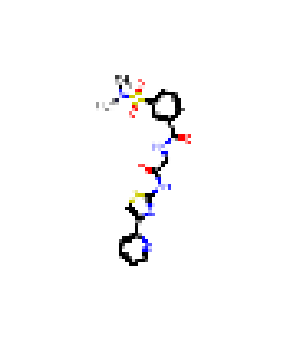 CN(C)S(=O)(=O)c1cccc(C(=O)NCC(=O)Nc2nc(-c3ccccn3)cs2)c1